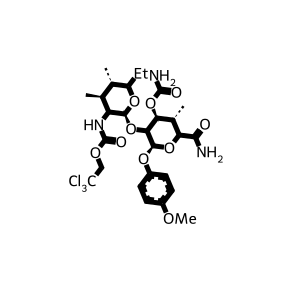 CCC1O[C@@H](OC2[C@H](Oc3ccc(OC)cc3)OC(C(N)=O)[C@@H](C)[C@@H]2OC(N)=O)C(NC(=O)OCC(Cl)(Cl)Cl)[C@@H](C)[C@@H]1C